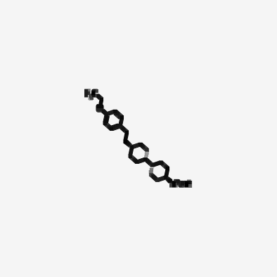 CCCCC[C@H]1CC[C@H]([C@H]2CC[C@H](CCc3ccc(OCC(F)(F)F)cc3)CC2)CC1